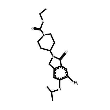 CCOC(=O)N1CCC(N2Cc3cc(OC(C)C)c(N)cc3C2=O)CC1